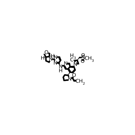 C=CC(=O)N1CCCC[C@H]1c1ccc(N2C[C@H](CS(C)(=O)=O)[C@H]2C)c2cnc(Nc3ccnc(N4CC[C@H]5COC[C@H]54)n3)cc12